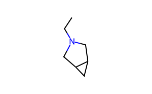 CCN1CC2CC2C1